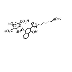 CCCCCCCCCCCCCCCCNC(=O)c1cc(OCC(C(C(=O)O)C(=O)O)C(S)C(C(=O)O)C(=O)O)c2ccccc2c1O